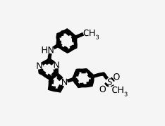 Cc1ccc(Nc2ncc3ccn(-c4ccc(CS(C)(=O)=O)cc4)c3n2)cc1